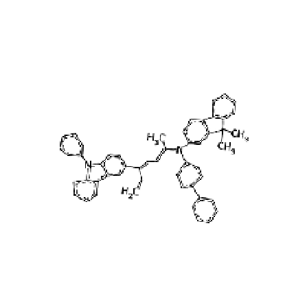 C=C/C(=C\C=C(/C)N(c1ccc(-c2ccccc2)cc1)c1ccc2c(c1)C(C)(C)c1ccccc1-2)c1ccc2c(c1)c1ccccc1n2-c1ccccc1